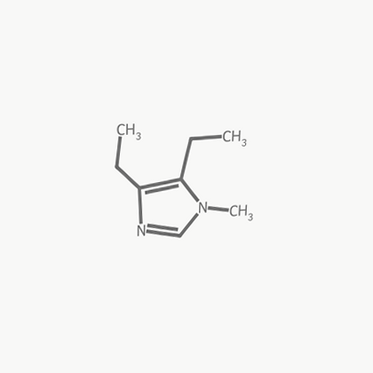 CCc1ncn(C)c1CC